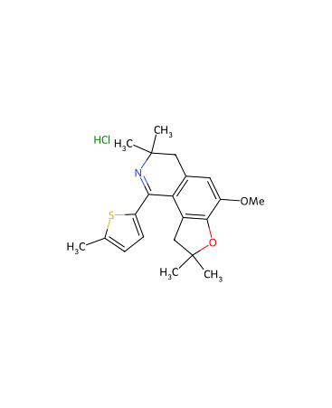 COc1cc2c(c3c1OC(C)(C)C3)C(c1ccc(C)s1)=NC(C)(C)C2.Cl